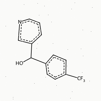 OC(c1ccc(C(F)(F)F)cc1)c1cccnc1